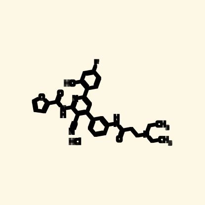 CCN(CC)CCC(=O)Nc1cccc(-c2cc(-c3ccc(F)cc3O)nc(NC(=O)c3ccco3)c2C#N)c1.Cl